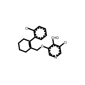 O=Cc1c(Cl)cncc1OCC1=C(c2ccccc2Cl)CCCC1